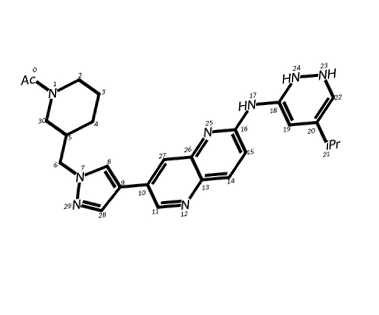 CC(=O)N1CCCC(Cn2cc(-c3cnc4ccc(NC5=CC(C(C)C)=CNN5)nc4c3)cn2)C1